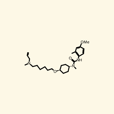 C=CCN(C)CCCCCCO[C@H]1CC[C@H](N(C)C(=O)Nc2ccc(OC)cc2C)CC1